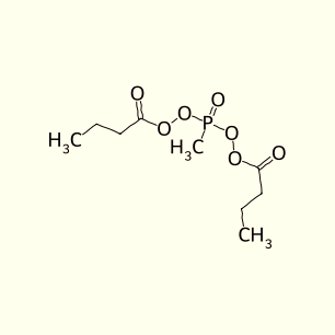 CCCC(=O)OOP(C)(=O)OOC(=O)CCC